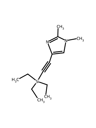 CC[Si](C#Cc1cn(C)c(C)n1)(CC)CC